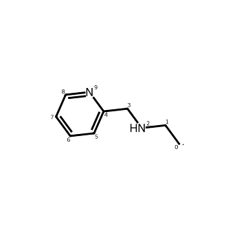 [CH2]CNCc1ccccn1